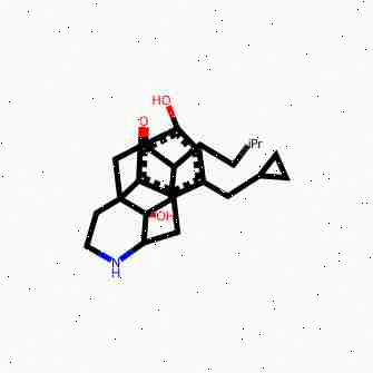 CC(C)CCC1CC2(O)C3Cc4c(CC5CC5)cc(O)cc4C2(CCN3)CC1=O